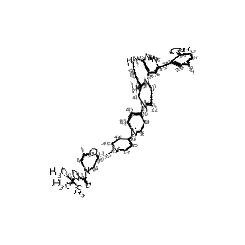 CC(C)(C)OC(=O)N1CCO[C@H](CN2CCC(N3CCC(N4CCN5c6cc(-c7ccccc7O)nnc6NC[C@H]5C4)CC3)CC2)C1